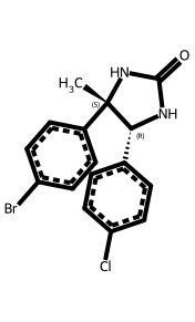 C[C@@]1(c2ccc(Br)cc2)NC(=O)N[C@@H]1c1ccc(Cl)cc1